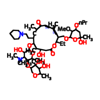 CCCOC1CC(C)(O)OC(OCC2/C=C(C)/C=C/C(=O)C(C)CC(CCN3CCCCC3)C(OC3OC(C)C(OC4COC(C)C(O)C4(C)O)C(N(C)C)C3O)C(C)C(O)CC(=O)OC2CC)C1OC